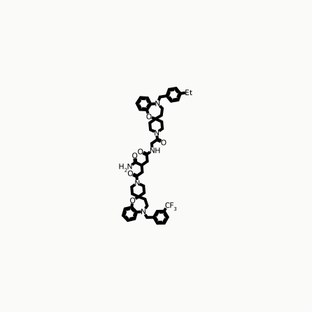 CCc1ccc(CN2CCC3(CCN(C(=O)CNC(=O)CC(CC(=O)N4CCC5(CC4)CCN(Cc4cccc(C(F)(F)F)c4)c4ccccc4O5)C(N)=O)CC3)Oc3ccccc32)cc1